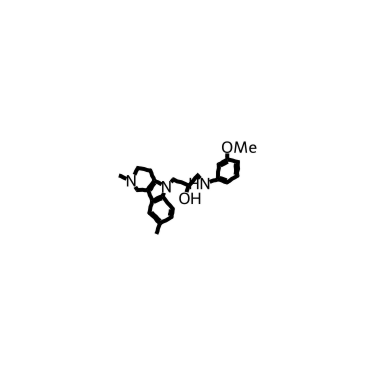 COc1cccc(NCC(O)Cn2c3c(c4cc(C)ccc42)CN(C)CC3)c1